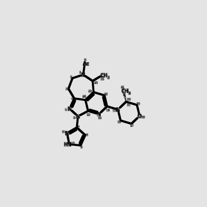 CC(=O)N1CCc2nn(-c3cc[nH]n3)c3nc(N4CCOC[C@H]4C)cc(c23)C1C